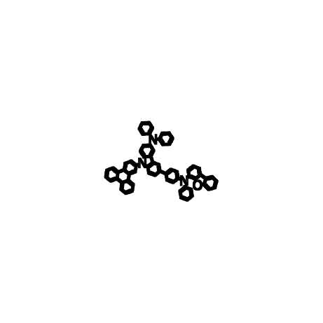 c1ccc(N(c2ccccc2)c2ccc3c(c2)c2cc(-c4ccc(N(c5ccccc5)c5cccc6c5oc5ccccc56)cc4)ccc2n3-c2ccc3c4ccccc4c4ccccc4c3c2)cc1